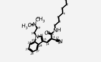 CCCCCCCCNC(=O)C(C#N)=Cc1cn(CCN(C)C)c2ccccc12